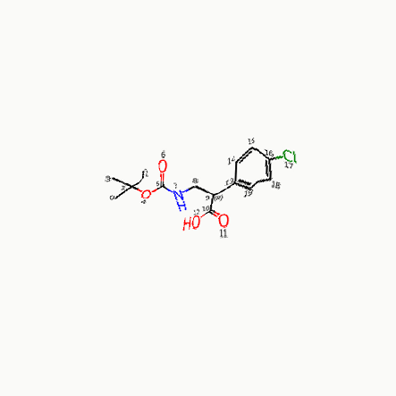 CC(C)(C)OC(=O)NC[C@H](C(=O)O)c1ccc(Cl)cc1